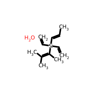 C=C[Si](C=C)(C=CC)C(C)=C(C)C.O